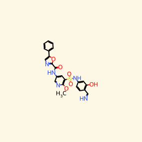 COc1ncc(NC(=O)c2ncc(-c3ccccc3)o2)cc1S(=O)(=O)Nc1ccc(C=N)c(O)c1